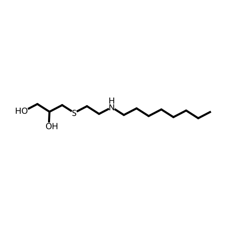 CCCCCCCCNCCSCC(O)CO